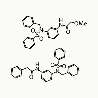 COCC(=O)Nc1cccc(N(Cc2ccccc2)S(=O)(=O)c2ccccc2)c1.O=C(Cc1ccccc1)Nc1cccc(N(Cc2ccccc2)S(=O)(=O)c2ccccc2)c1